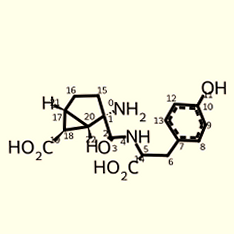 N[C@@]1(C(=O)N[C@@H](Cc2ccc(O)cc2)C(=O)O)CC[C@H]2[C@H](C(=O)O)[C@H]21